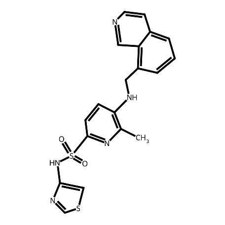 Cc1nc(S(=O)(=O)Nc2cscn2)ccc1NCc1cccc2ccncc12